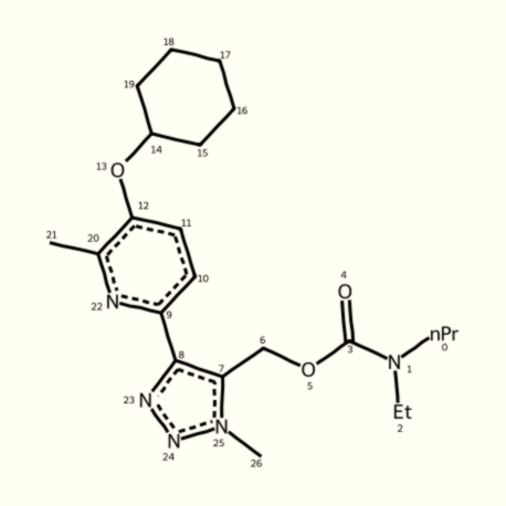 CCCN(CC)C(=O)OCc1c(-c2ccc(OC3CCCCC3)c(C)n2)nnn1C